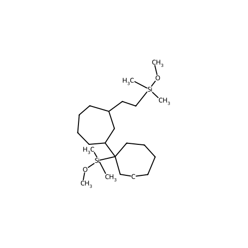 CO[Si](C)(C)CCC1CCCCC(C2([Si](C)(C)OC)CCCCCC2)C1